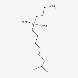 C=C(C)COCCCC[Si](CCCN)(OC)OC